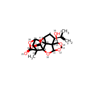 C=C(C)[C@@H]1CC2OC(=O)C34OC5OCO[C@H](O)C51C23CC1CC4(C)C(=O)O1